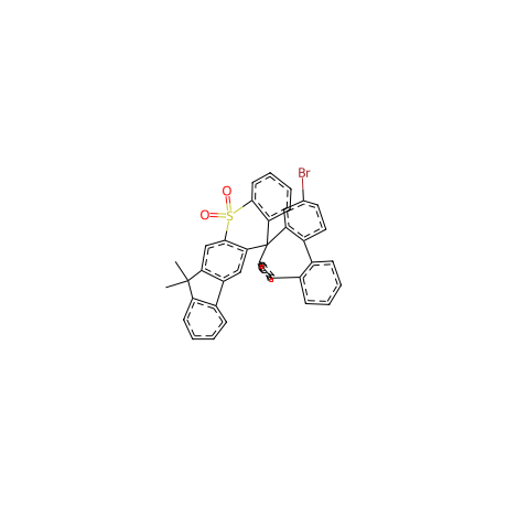 CC1(C)c2ccccc2-c2cc3c(cc21)S(=O)(=O)c1ccccc1C31c2ccccc2-c2ccccc2-c2ccc(Br)cc21